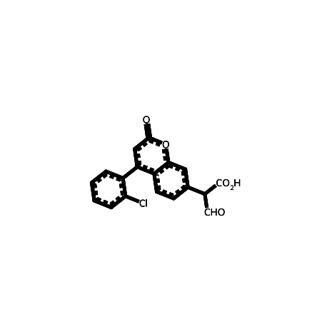 O=CC(C(=O)O)c1ccc2c(-c3ccccc3Cl)cc(=O)oc2c1